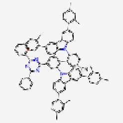 Cc1ccc(-c2ccc3c(c2)c2cc(-c4ccc(C)cc4C)ccc2n3-c2ccc(C#N)cc2-c2ccc(-c3nc(-c4ccccc4)nc(-c4ccccc4)n3)cc2-n2c3ccc(-c4ccc(C)cc4C)cc3c3cc(-c4ccc(C)cc4C)ccc32)c(C)c1